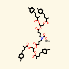 Cc1ccc(CCC(C)C(=O)OCC(COC(=O)C(C)CCc2ccc(C)cc2)OC(=O)CCCN(CCCC(=O)OC(COC(=O)C(C)CCc2ccc(C)cc2)COC(=O)C(C)CCc2ccc(C)cc2)C(=O)OC(C)(C)C)cc1